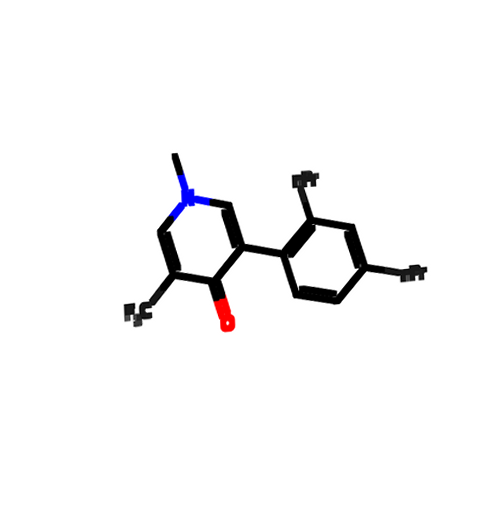 CCCc1ccc(-c2cn(C)cc(C(F)(F)F)c2=O)c(CCC)c1